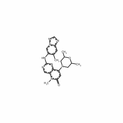 Cc1cc2ncnn2cc1Nc1ncc2c(n1)c(N1CC(C)OC(C)C1)cc(=O)n2C